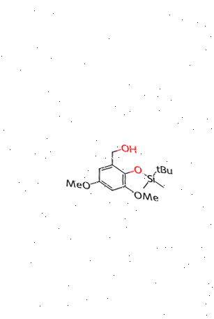 COc1cc(CO)c(O[Si](C)(C)C(C)(C)C)c(OC)c1